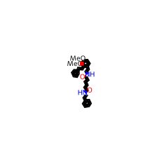 COc1ccc(CCNC(=O)CCCCC(=O)NCCc2ccccc2)c(CCc2ccccc2)c1OC